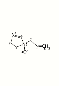 C=CC[N+]1([O-])C=NCC1